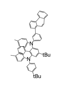 Cc1ccc(N(c2ccc(C(C)(C)C)cc2)c2cc(C(C)(C)C)cc(N(c3ccc(C)cc3)c3cccc(-c4cccc5c4ccc4ccccc45)c3)c2-c2ccccc2)cc1